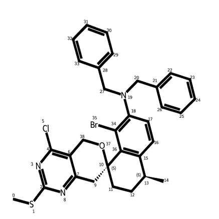 CSc1nc(Cl)c2c(n1)C[C@]1(CC[C@H](C)c3ccc(N(Cc4ccccc4)Cc4ccccc4)c(Br)c31)OC2